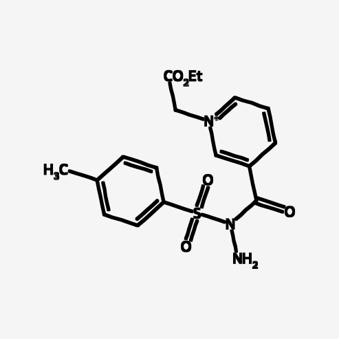 CCOC(=O)C[n+]1cccc(C(=O)N(N)S(=O)(=O)c2ccc(C)cc2)c1